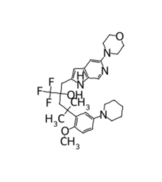 COc1ccc(N2CCCCC2)cc1C(C)(C)CC(O)(Cc1cc2cc(N3CCOCC3)ncc2[nH]1)C(F)(F)F